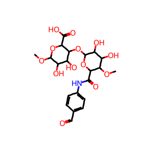 COC1OC(C(=O)O)C(OC2OC(C(=O)Nc3ccc(C=O)cc3)C(OC)C(O)C2O)C(O)C1O